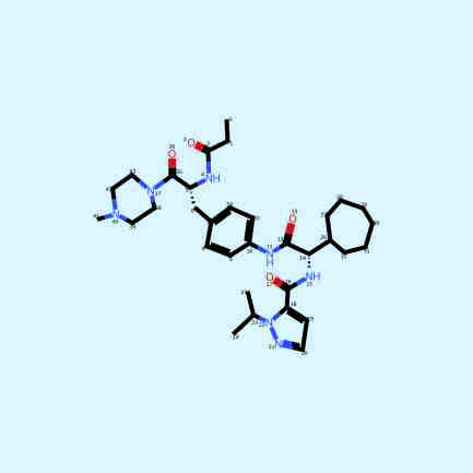 CCC(=O)N[C@H](Cc1ccc(NC(=O)[C@@H](NC(=O)c2ccnn2C(C)C)C2CCCCCC2)cc1)C(=O)N1CCN(C)CC1